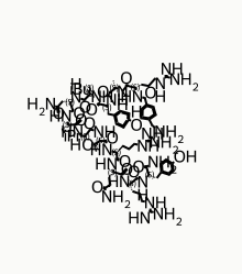 CC[C@H](C)[C@H](NC(=O)[C@H](Cc1ccc(O)cc1)NC(=O)[C@H](C)NC(=O)[C@H](CCCNC(=N)N)NC(=O)c1ccc(CN)cc1)C(=O)N[C@@H](CC(N)=O)C(=O)N[C@@H](CC(C)C)C(=O)N[C@@H](C)C(=O)N[C@H](C(=O)N[C@@H](CCCNC(=N)N)C(=O)N[C@@H](CCC(N)=O)C(=O)N[C@@H](CCCNC(=N)N)C(=O)N[C@@H](Cc1ccc(O)cc1)C(N)=O)[C@@H](C)O